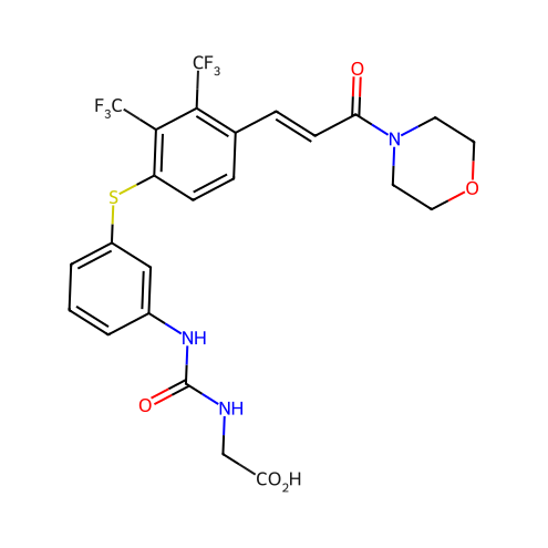 O=C(O)CNC(=O)Nc1cccc(Sc2ccc(C=CC(=O)N3CCOCC3)c(C(F)(F)F)c2C(F)(F)F)c1